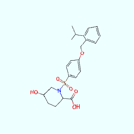 CC(C)c1ccccc1COc1ccc(S(=O)(=O)N2CC(O)CCC2C(=O)O)cc1